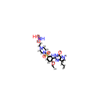 CCCc1cn(C)c2c(=O)[nH]c(-c3cc(S(=O)(=O)N4CCN(CCONO)CC4)ccc3OCC)nc12